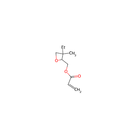 C=CC(=O)OCC1OCC1(C)CC